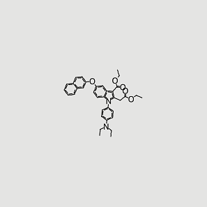 CCOC(=O)Cc1c(C(=O)OCC)c2cc(Oc3ccc4ccccc4c3)ccc2n1-c1ccc(N(CC)CC)cc1